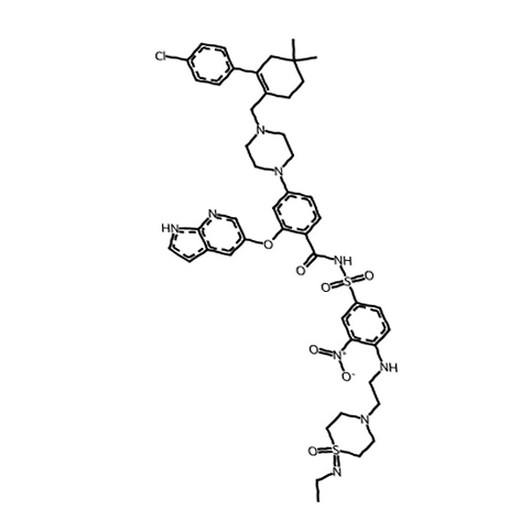 CCN=S1(=O)CCN(CCNc2ccc(S(=O)(=O)NC(=O)c3ccc(N4CCN(CC5=C(c6ccc(Cl)cc6)CC(C)(C)CC5)CC4)cc3Oc3cnc4[nH]ccc4c3)cc2[N+](=O)[O-])CC1